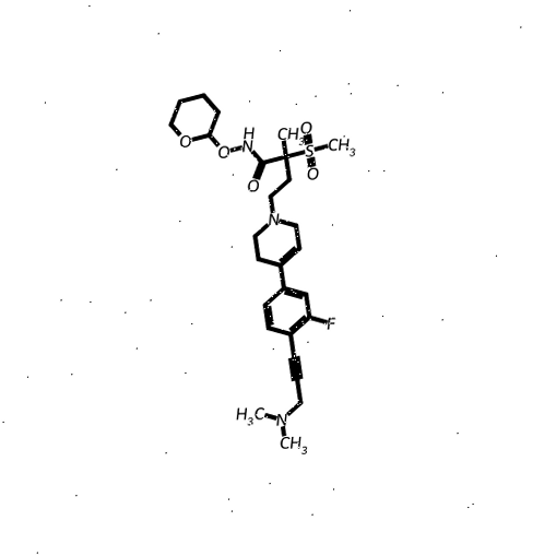 CN(C)CC#Cc1ccc(C2=CCN(CCC(C)(C(=O)NOC3CCCCO3)S(C)(=O)=O)CC2)cc1F